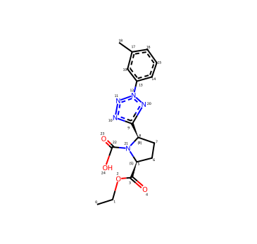 CCOC(=O)[C@@H]1CC[C@H](c2nnn(-c3cccc(C)c3)n2)N1C(=O)O